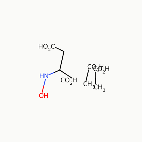 CC(=O)O.CC(=O)O.O=C(O)CC(NO)C(=O)O